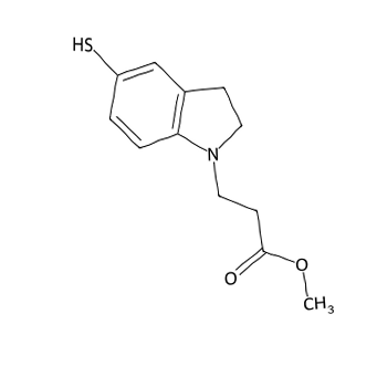 COC(=O)CCN1CCc2cc(S)ccc21